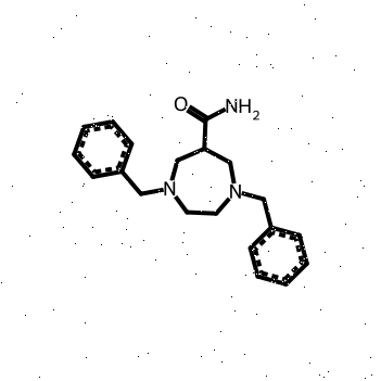 NC(=O)C1CN(Cc2ccccc2)CCN(Cc2ccccc2)C1